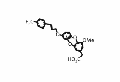 COc1cc(CC(=O)O)cc(Oc2cccc(OCC=Cc3ccc(C(F)(F)F)cc3)c2)c1OC